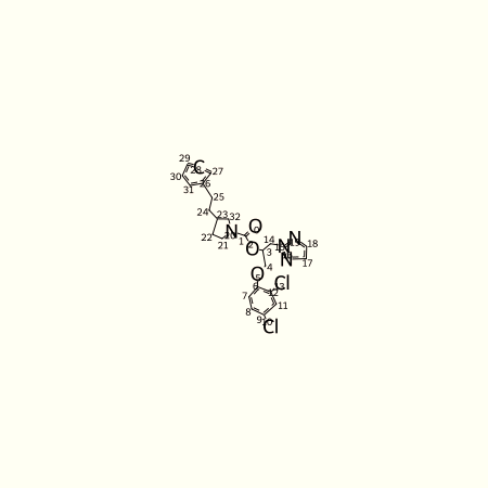 O=C(OC(COc1ccc(Cl)cc1Cl)Cn1nccn1)N1CCC(CCc2ccccc2)C1